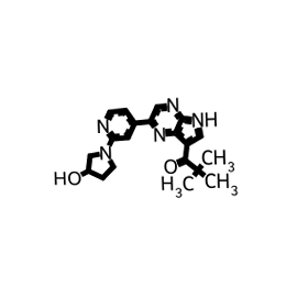 CC(C)(C)C(=O)c1c[nH]c2ncc(-c3ccnc(N4CCC(O)C4)c3)nc12